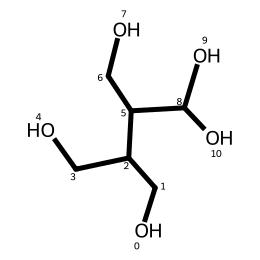 OCC(CO)C(CO)C(O)O